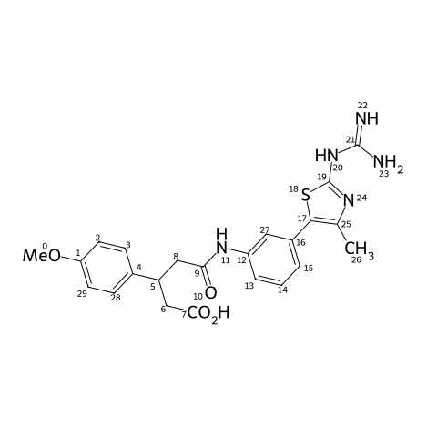 COc1ccc(C(CC(=O)O)CC(=O)Nc2cccc(-c3sc(NC(=N)N)nc3C)c2)cc1